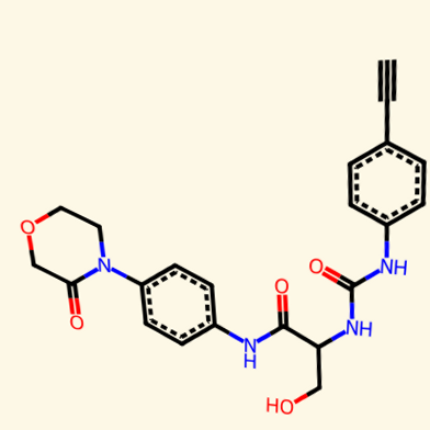 C#Cc1ccc(NC(=O)NC(CO)C(=O)Nc2ccc(N3CCOCC3=O)cc2)cc1